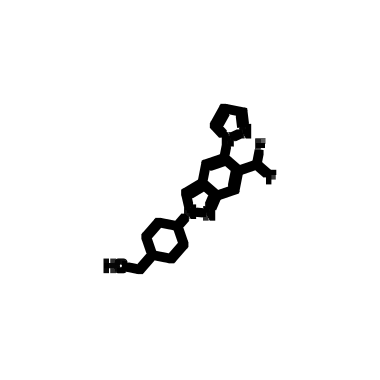 OCC1CCC(n2cc3cc(-n4cccn4)c(C(F)F)cc3n2)CC1